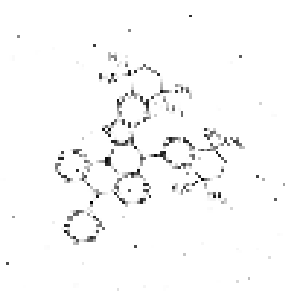 CC1(C)CCC(C)(C)c2cc(N3c4cccc5c4B(c4ccccc4N5c4ccccc4)c4oc5cc6c(cc5c43)C(C)(C)CCC6(C)C)ccc21